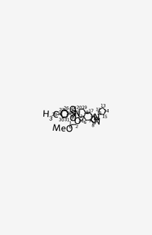 COCCOC[C@]12Cc3cnn(C4CCCC4)c3C=C1CCN(S(=O)(=O)c1ccc(C)cc1)C2